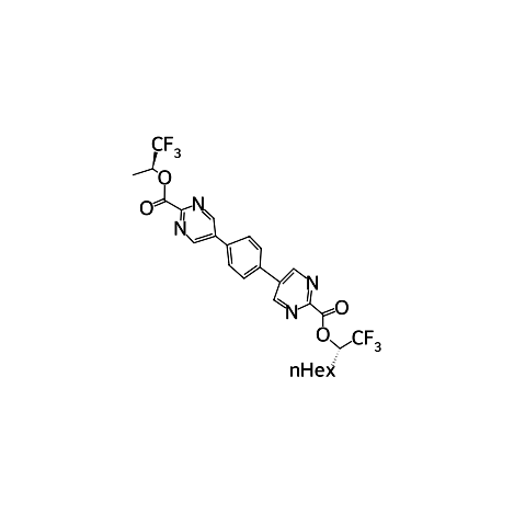 CCCCCC[C@H](OC(=O)c1ncc(-c2ccc(-c3cnc(C(=O)O[C@@H](C)C(F)(F)F)nc3)cc2)cn1)C(F)(F)F